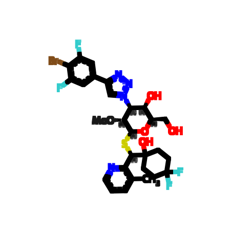 CO[C@@H]1[C@@H](n2cc(-c3cc(F)c(Br)c(F)c3)nn2)[C@@H](O)[C@@H](CO)O[C@H]1S[C@H](c1ncccc1C)C1(O)CCC(F)(F)CC1